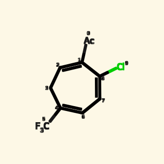 CC(=O)C1=CCC(C(F)(F)F)=CC=C1Cl